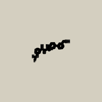 O=C(Nc1cccc(OC(F)F)c1)c1cn2cc(-c3cccc(CO)c3)ccc2n1